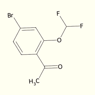 CC(=O)c1ccc(Br)cc1OC(F)F